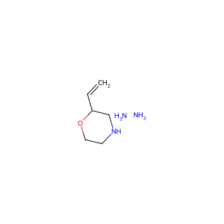 C=CC1CNCCO1.N.N